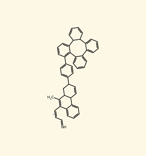 CC1=C(/C=C\C=N)c2ccccc2C2C=CC(c3ccc(-c4cccc5c4-c4ccccc4-c4ccccc4C4C=CC=CC54)cc3)CC12